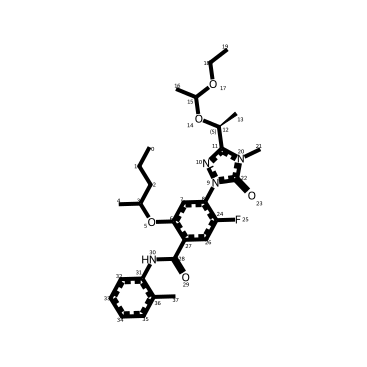 CCCC(C)Oc1cc(-n2nc([C@H](C)OC(C)OCC)n(C)c2=O)c(F)cc1C(=O)Nc1ccccc1C